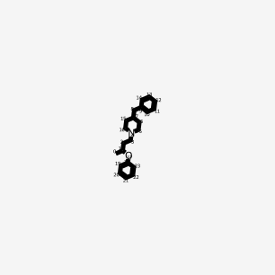 CC(CCN1CCC(Cc2ccccc2)CC1)Oc1ccccc1